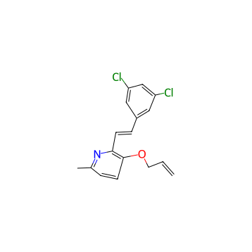 C=CCOc1ccc(C)nc1C=Cc1cc(Cl)cc(Cl)c1